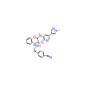 C[C@H](CN[C@H](c1ccccc1)[C@H]1Oc2ncc(-c3cnn(C)c3)cc2N(C)C1=O)c1ccc(C#N)cc1